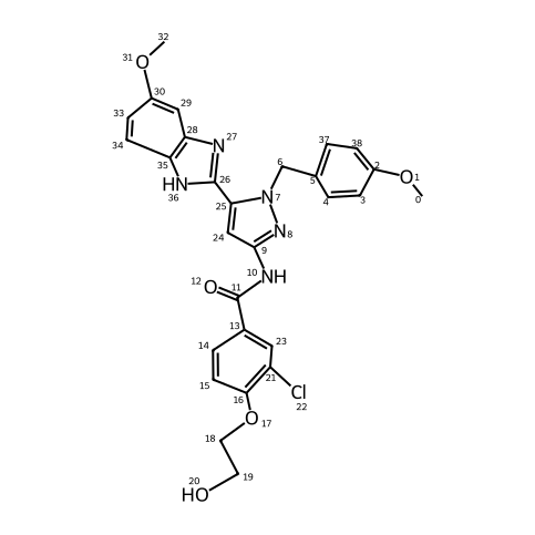 COc1ccc(Cn2nc(NC(=O)c3ccc(OCCO)c(Cl)c3)cc2-c2nc3cc(OC)ccc3[nH]2)cc1